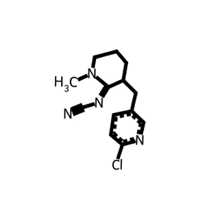 CN1CCCC(Cc2ccc(Cl)nc2)C1=NC#N